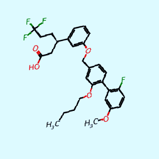 CCCCOc1cc(COc2cccc([C@H](CCC(F)(F)F)CC(=O)O)c2)ccc1-c1cc(OC)ccc1F